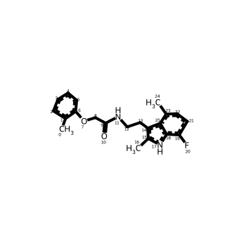 Cc1ccccc1OCC(=O)NCCc1c(C)[nH]c2c(F)ccc(C)c12